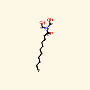 [CH2]CCCCCCCCCC(=O)[N+](CO)CO